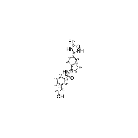 CCC1NC(c2ccc3c(c2)CC[C@H]3NC(=O)c2cccc(CCO)c2)NO1